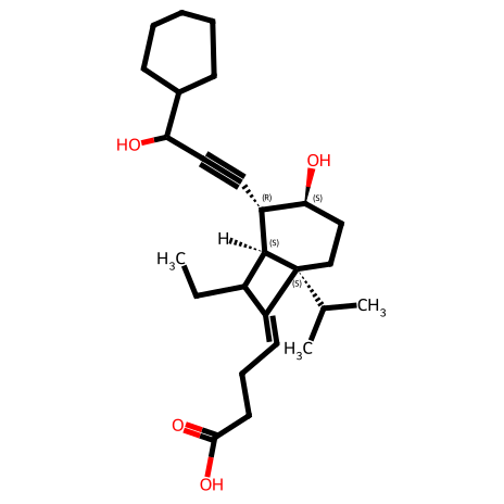 CCC1C(=CCCC(=O)O)[C@]2(C(C)C)CC[C@H](O)[C@@H](C#CC(O)C3CCCCC3)[C@H]12